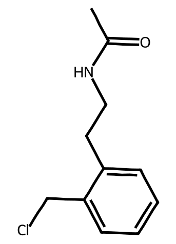 CC(=O)NCCc1ccccc1CCl